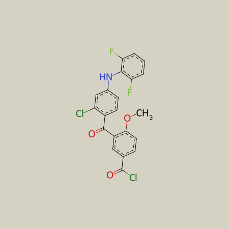 COc1ccc(C(=O)Cl)cc1C(=O)c1ccc(Nc2c(F)cccc2F)cc1Cl